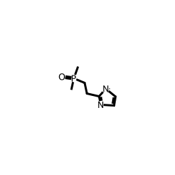 CP(C)(=O)CCC1=NC=C[N]1